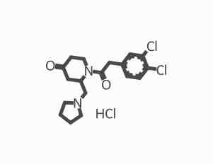 Cl.O=C1CCN(C(=O)Cc2ccc(Cl)c(Cl)c2)C(CN2CCCC2)C1